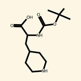 CC(C)(C)OC(=O)NC(CC1CCNCC1)C(=O)O